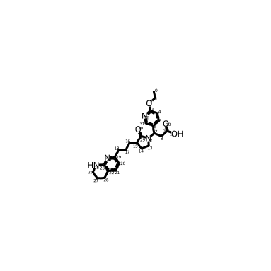 CCOc1ccc(C(CC(=O)O)N2CCC(CCCc3ccc4c(n3)NCCC4)C2=O)cn1